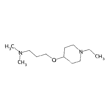 CCN1CCC(OCCCN(C)C)CC1